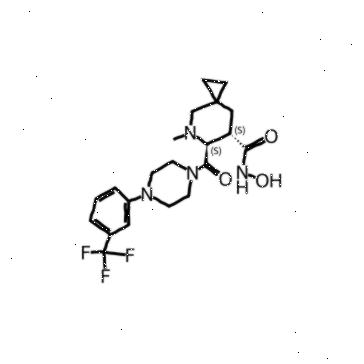 CN1CC2(CC2)C[C@H](C(=O)NO)[C@H]1C(=O)N1CCN(c2cccc(C(F)(F)F)c2)CC1